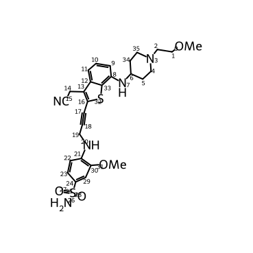 COCCN1CCC(Nc2cccc3c(CC#N)c(C#CCNc4ccc(S(N)(=O)=O)cc4OC)sc23)CC1